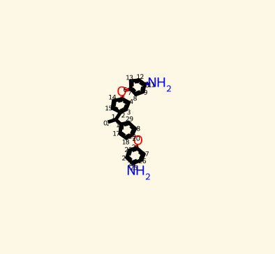 [CH2]C(c1ccc(Oc2ccc(N)cc2)cc1)c1ccc(Oc2ccc(N)cc2)cc1